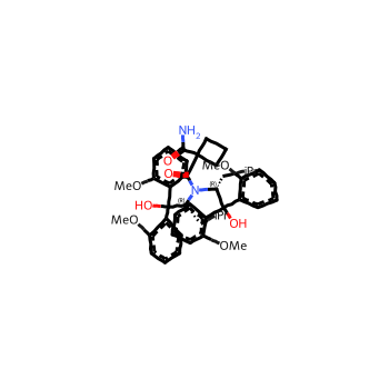 COc1ccccc1C(O)(c1ccccc1OC)[C@@H](CC(C)C)N(C(=O)C1(C(N)=O)CCC1)[C@H](CC(C)C)C(O)(c1ccccc1OC)c1ccccc1OC